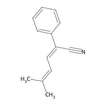 CC(C)=CC=C(C#N)c1ccccc1